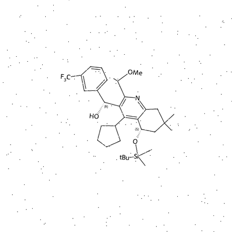 COC(C)c1nc2c(c(C3CCCC3)c1[C@H](O)c1cccc(C(F)(F)F)c1)[C@@H](O[Si](C)(C)C(C)(C)C)CC(C)(C)C2